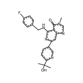 Cn1cnc2cc(-c3ccc(C(C)(C)O)nc3)nc(NCc3ccc(F)cc3)c2c1=O